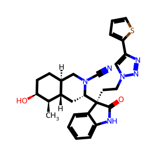 C[C@@H]1[C@H]2C[C@@H]([C@@]3(CCn4cc(-c5cccs5)nn4)C(=O)Nc4ccccc43)N(C#N)C[C@@H]2CC[C@@H]1O